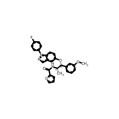 COc1cccc([C@@H](Oc2ccc3c(cnn3-c3ccc(F)cc3)c2)[C@H](C)NC(=O)c2ccco2)c1